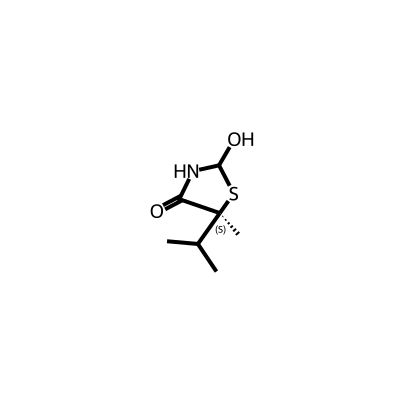 CC(C)[C@]1(C)SC(O)NC1=O